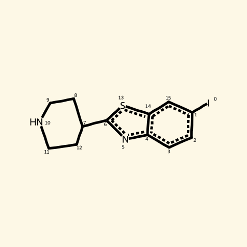 Ic1ccc2nc(C3CCNCC3)sc2c1